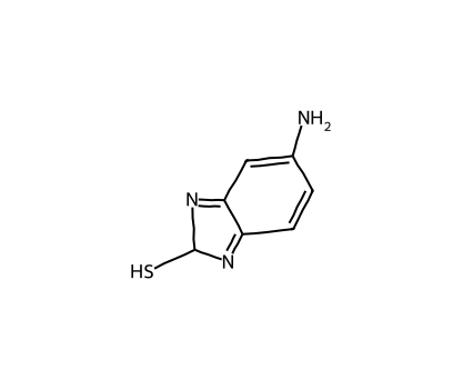 Nc1ccc2c(c1)=NC(S)N=2